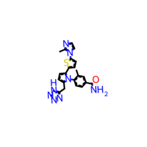 Cc1cc(C(N)=O)ccc1-n1c(Cc2nnn[nH]2)ccc1-c1ccc(-n2ccnc2C)s1